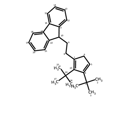 CC(C)(C)C1=CCC(CCC2c3ccccc3-c3ccccc32)=C1C(C)(C)C